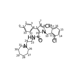 Cc1ccc(-c2c(C)cn(Cc3c(Cl)cccc3Cl)c2C(=O)NCCN2CCCCCC2)cc1